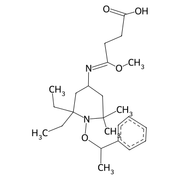 CCC1(CC)CC(N=C(CCC(=O)O)OC)CC(C)(C)N1OC(C)c1ccccc1